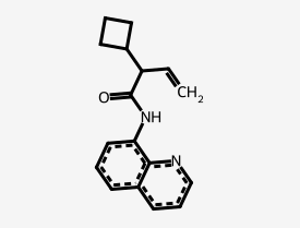 C=CC(C(=O)Nc1cccc2cccnc12)C1CCC1